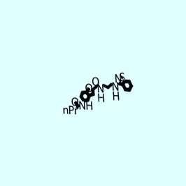 CCCC(=O)Nc1ccc2oc(C(=O)NCCCNc3nsc4ccccc34)cc2c1